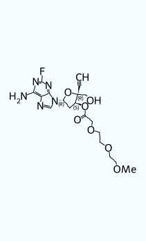 C#C[C@]1(CO)O[C@@H](n2cnc3c(N)nc(F)nc32)C[C@@H]1OC(=O)COCCOCCOC